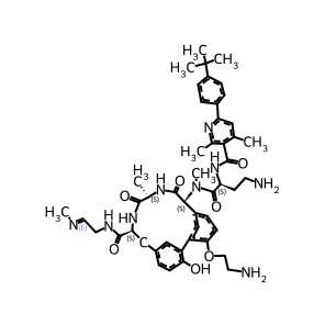 C/N=C/CNC(=O)[C@@H]1Cc2ccc(O)c(c2)-c2cc(ccc2OCCN)[C@H](N(C)C(=O)[C@H](CCN)NC(=O)c2c(C)cc(-c3ccc(C(C)(C)C)cc3)nc2C)C(=O)N[C@@H](C)C(=O)N1